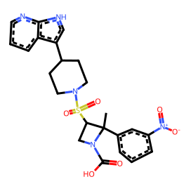 CC1(c2cccc([N+](=O)[O-])c2)C(S(=O)(=O)N2CCC(c3c[nH]c4ncccc34)CC2)CN1C(=O)O